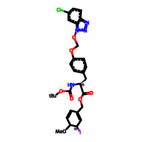 COC1C=CC(COC(=O)[C@@H](Cc2ccc(OCOn3nnc4ccc(Cl)cc43)cc2)NC(=O)OC(C)(C)C)=C[C@H]1I